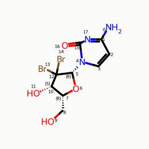 Nc1ccn([C@@H]2O[C@H](CO)[C@H](O)C2(Br)Br)c(=O)n1